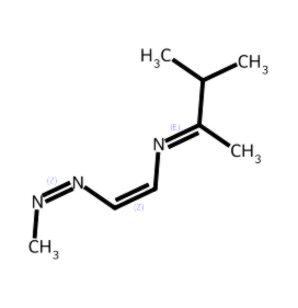 C\N=N/C=C\N=C(/C)C(C)C